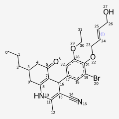 CCCC1CC(=O)C2=C(C1)NC(C)=C(C#N)C2c1cc(Br)c(OC/C=C/CO)c(OCC)c1